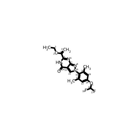 C=C(OCC)c1nc2nn(-c3c(C)cc(OC(F)F)cc3C)cc2c(=O)[nH]1